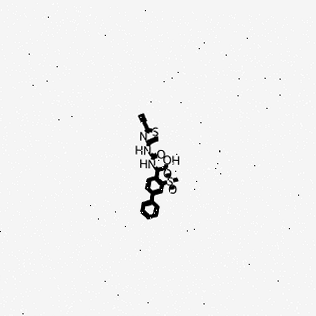 C#Cc1nc(NC(=O)NC(CO)c2ccc(-c3ccccc3)cc2S(C)(=O)=O)cs1